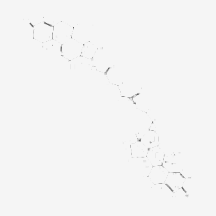 C[C@@H]1CC2=CC(=O)CC[C@]2(C)C2CC[C@@]3(C)C(CC[C@@H]3OC(=O)CCCC(=O)OCC3OC3[C@@]3(O)[C@@H](C)CC4C5CCC6=CC(=O)C=C[C@]6(C)[C@@]5(F)[C@@H](O)C[C@@]43C)C21